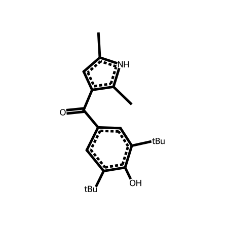 Cc1cc(C(=O)c2cc(C(C)(C)C)c(O)c(C(C)(C)C)c2)c(C)[nH]1